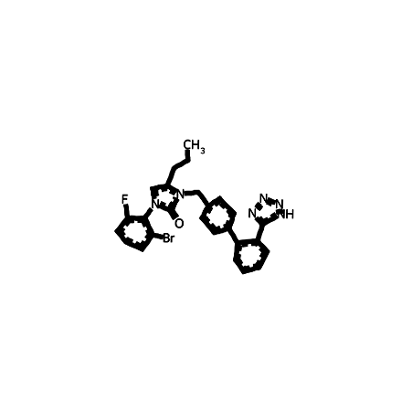 CCCc1cn(-c2c(F)cccc2Br)c(=O)n1Cc1ccc(-c2ccccc2-c2nnn[nH]2)cc1